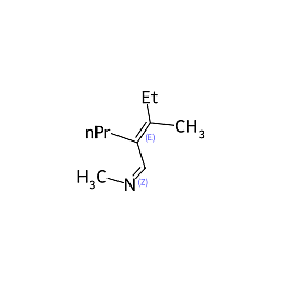 CCCC(/C=N\C)=C(/C)CC